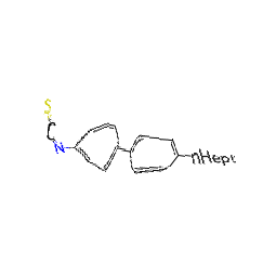 CCCCCCCc1ccc(-c2ccc(N=C=S)cc2)cc1